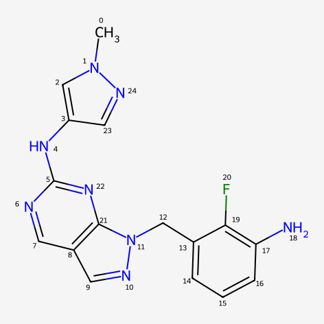 Cn1cc(Nc2ncc3cnn(Cc4cccc(N)c4F)c3n2)cn1